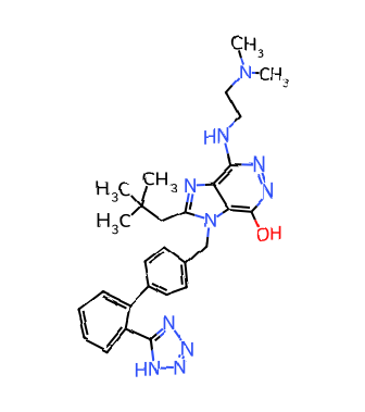 CN(C)CCNc1nnc(O)c2c1nc(CC(C)(C)C)n2Cc1ccc(-c2ccccc2-c2nnn[nH]2)cc1